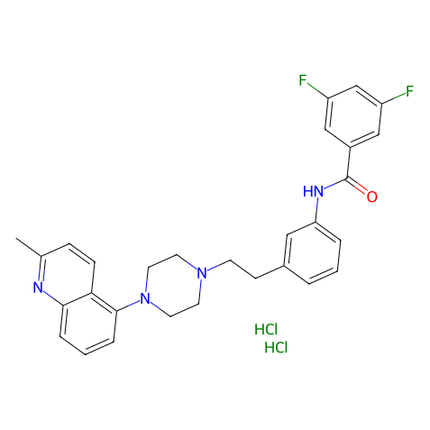 Cc1ccc2c(N3CCN(CCc4cccc(NC(=O)c5cc(F)cc(F)c5)c4)CC3)cccc2n1.Cl.Cl